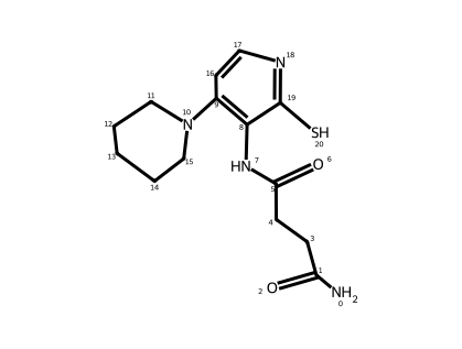 NC(=O)CCC(=O)Nc1c(N2CCCCC2)ccnc1S